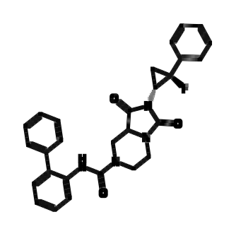 O=C(Nc1ccccc1-c1ccccc1)N1CCN2C(=O)N([C@@H]3C[C@]3(F)c3ccccc3)C(=O)C2C1